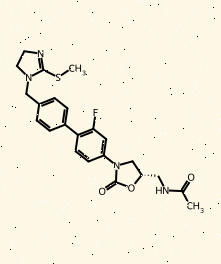 CSC1=NCCN1Cc1ccc(-c2ccc(N3C[C@H](CNC(C)=O)OC3=O)cc2F)cc1